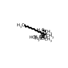 CCCCCCCCCCCCCC(C(CC)[Si](OC)(OC)OC)N(C)C.Cl